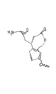 COc1ccc2c(CC(N)=O)cc(=O)oc2c1